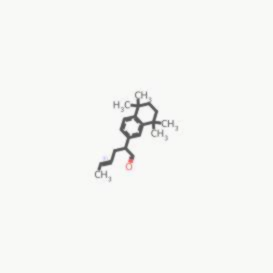 C/C=C/CC(C=O)c1ccc2c(c1)C(C)(C)CCC2(C)C